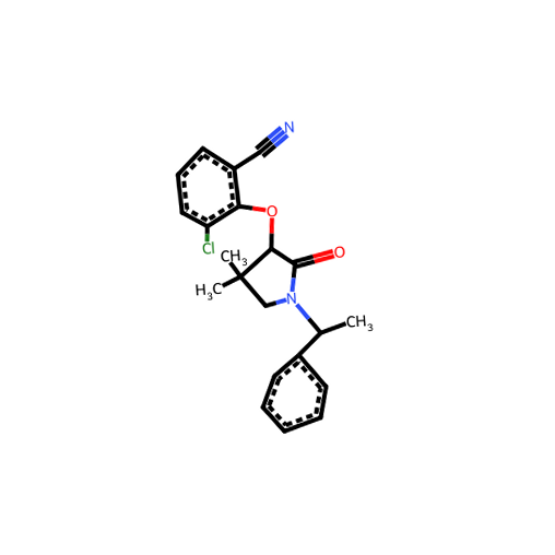 CC(c1ccccc1)N1CC(C)(C)C(Oc2c(Cl)cccc2C#N)C1=O